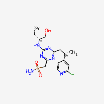 CC(C)C[C@H](CO)Nc1nc(C[C@H](C)c2ccnc(F)c2)nc(CS(N)(=O)=O)n1